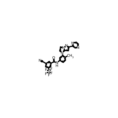 Cc1ccc(NC(=O)c2cc(C#N)cc(S(F)(F)(F)(F)F)c2)cc1-n1ccn2nc(-c3cnccn3)cc12